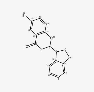 O=C1CC(C2CCc3ccccc32)Oc2ccc(Br)cc21